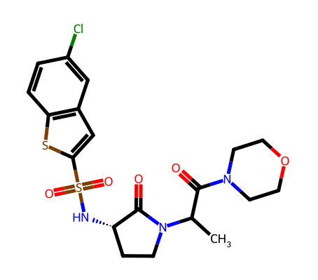 CC(C(=O)N1CCOCC1)N1CC[C@H](NS(=O)(=O)c2cc3cc(Cl)ccc3s2)C1=O